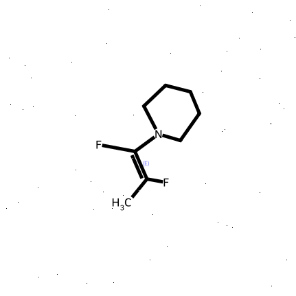 C/C(F)=C(\F)N1CCCCC1